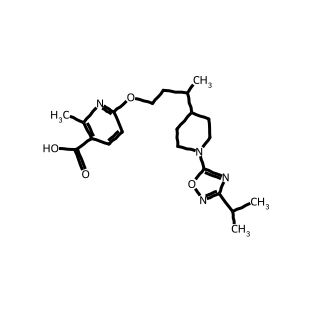 Cc1nc(OCCC(C)C2CCN(c3nc(C(C)C)no3)CC2)ccc1C(=O)O